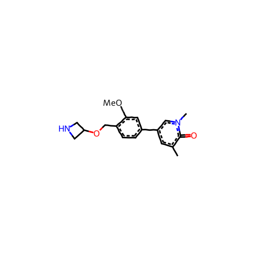 COc1cc(-c2cc(C)c(=O)n(C)c2)ccc1COC1CNC1